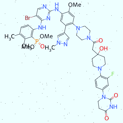 COc1cc(N2CCN(C(=O)CC3(O)CCN(c4ccc(N5CCC(=O)NC5=O)cc4F)CC3)CC2)c(-c2cnn(C)c2)cc1Nc1ncc(Br)c(Nc2ccc(C)c(C)c2P(=O)(OC)OC)n1